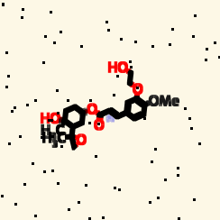 COc1ccc(/C=C/C(=O)O[C@@H]2CC[C@@](C)(O)C(C3(C)CO3)C2)cc1OCCO